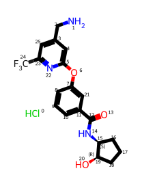 Cl.NCc1cc(Oc2cccc(C(=O)N[C@H]3CCC[C@H]3O)c2)nc(C(F)(F)F)c1